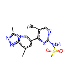 CCCCc1cnc(NS(C)(=O)=O)nc1-c1cc(C)c2nnc(C)n2c1